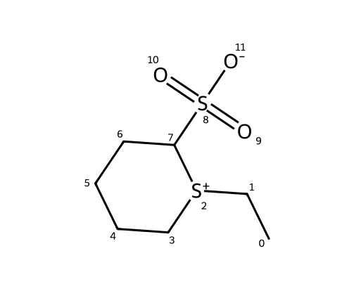 CC[S+]1CCCCC1S(=O)(=O)[O-]